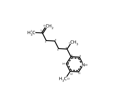 C=C(C)CCCC(C)c1cncc(C)c1